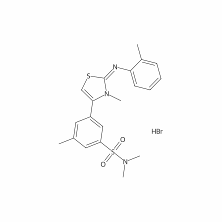 Br.Cc1cc(-c2csc(=Nc3ccccc3C)n2C)cc(S(=O)(=O)N(C)C)c1